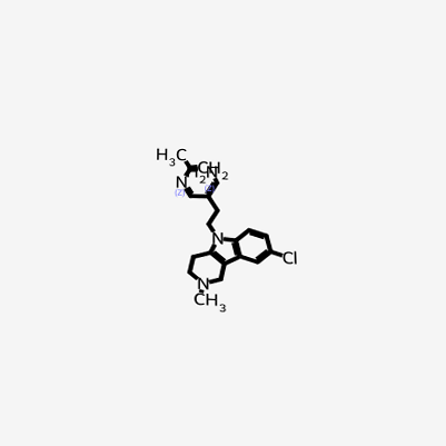 C=C(C)/N=C\C(=C/N)CCn1c2c(c3cc(Cl)ccc31)CN(C)CC2